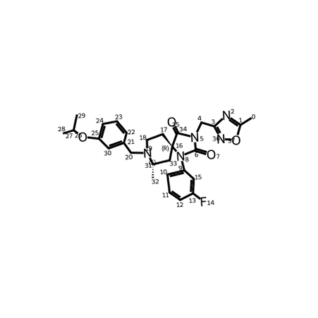 Cc1nc(CN2C(=O)N(c3cccc(F)c3)[C@@]3(CCN(Cc4cccc(OC(C)C)c4)[C@@H](C)C3)C2=O)no1